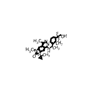 Cc1c([C@@H](C)Nc2nnc(C)c3cc4c(cc23)n(C2(C)CC2)c(=O)n4C)cccc1C(F)(F)CO